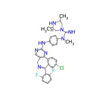 CC1CN(C(=N)N(C)c2ccc(Nc3ncc4c(n3)-c3ccc(Cl)cc3C(c3c(F)cccc3F)=NC4)cc2)C[C@@H](C)N1